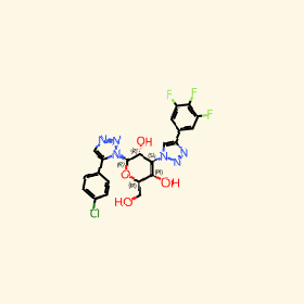 OC[C@H]1O[C@@H](n2nncc2-c2ccc(Cl)cc2)[C@H](O)[C@@H](n2cc(-c3cc(F)c(F)c(F)c3)nn2)[C@H]1O